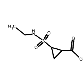 CCNS(=O)(=O)C1CC1C(=O)O